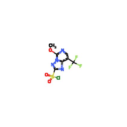 COc1ncc(C(F)(F)F)c2nc(S(=O)(=O)Cl)nn12